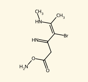 CN/C(C)=C(/Br)C(=N)CC(=O)ON